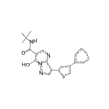 CC(C)(C)NC(=O)c1cnc2c(-c3cc(-c4ccccc4)cs3)cnn2c1O